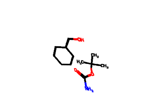 CC(C)(C)OC(N)=O.OCC1CCCCC1